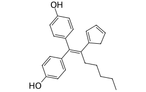 CCCCCC(C1=CC=CC1)=C(c1ccc(O)cc1)c1ccc(O)cc1